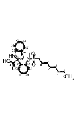 CCCCCCCCS(=O)(=O)Nc1ccccc1C1(C(=O)O)Nc2ccccc2O1